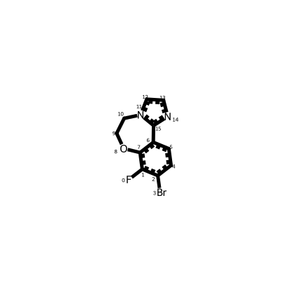 Fc1c(Br)ccc2c1OCCn1ccnc1-2